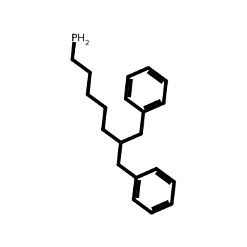 PCCCCCC(Cc1ccccc1)Cc1ccccc1